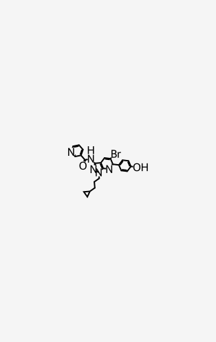 O=C(Nc1nn(CCCC2CC2)c2nc(-c3ccc(O)cc3)c(Br)cc12)c1cccnc1